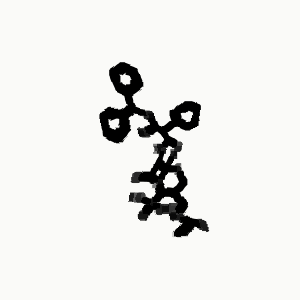 CC(=O)OCC1=C(P(=O)(O)O)N2C(=O)[C@@H](NC(=O)C(C(=O)OC(c3ccccc3)c3ccccc3)c3ccccc3)[C@@H]2SC1